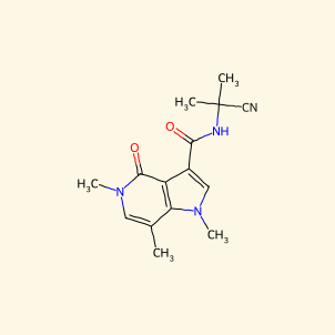 Cc1cn(C)c(=O)c2c(C(=O)NC(C)(C)C#N)cn(C)c12